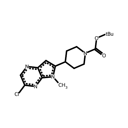 Cn1c(C2CCN(C(=O)OC(C)(C)C)CC2)cc2ncc(Cl)nc21